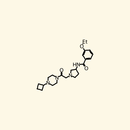 CCOc1cccc(C(=O)NC2CCN(CC(=O)N3CCN(C4CCC4)CC3)C2)c1